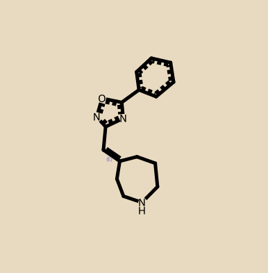 C(=C1/CCCNCC1)/c1noc(-c2ccccc2)n1